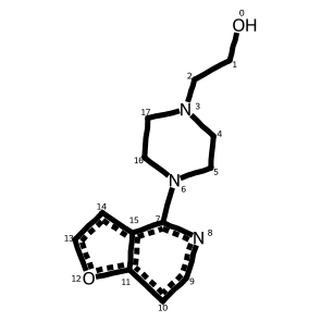 OCCN1CCN(c2nccc3occc23)CC1